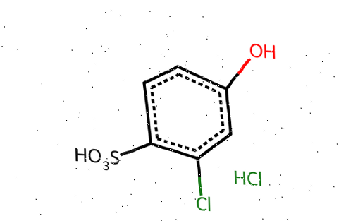 Cl.O=S(=O)(O)c1ccc(O)cc1Cl